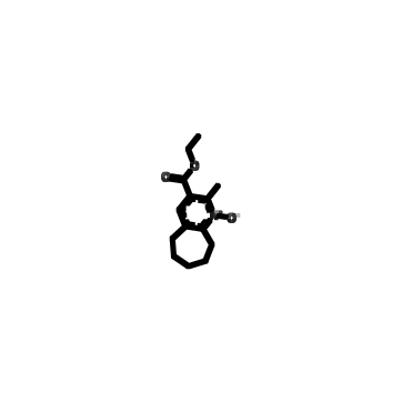 CCOC(=O)c1cc2c([n+]([O-])c1C)CCCCC2